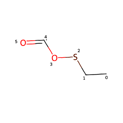 CCSO[C]=O